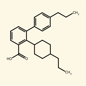 CCCc1ccc(-c2cccc(C(=O)O)c2C2CCC(CCC)CC2)cc1